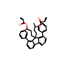 C=CC(=O)OC(C)CCC1(CCC(C)OC(=O)C=C)c2c(-c3ccccc3)cccc2-c2cccc(-c3ccccc3)c21